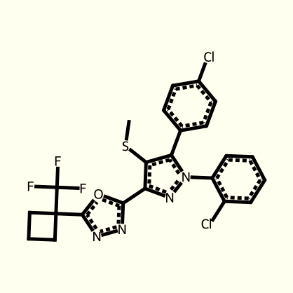 CSc1c(-c2nnc(C3(C(F)(F)F)CCC3)o2)nn(-c2ccccc2Cl)c1-c1ccc(Cl)cc1